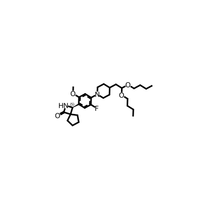 CCCCOC(CC1CCN(c2cc(OC)c([C@@H]3NC(=O)C34CCCC4)cc2F)CC1)OCCCC